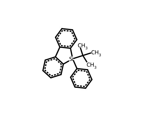 CC(C)(C)[Si]1(c2ccccc2)c2ccccc2-c2ccccc21